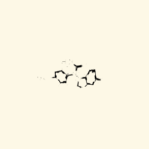 COc1ccc(N(C(N)=O)N2CSc3cc(C(F)(F)F)ccc32)cc1